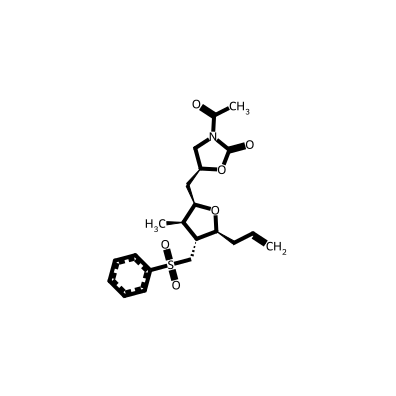 C=CC[C@@H]1O[C@H](C[C@H]2CN(C(C)=O)C(=O)O2)[C@H](C)[C@H]1CS(=O)(=O)c1ccccc1